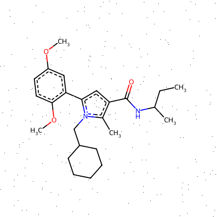 CCC(C)NC(=O)c1cc(-c2cc(OC)ccc2OC)n(CC2CCCCC2)c1C